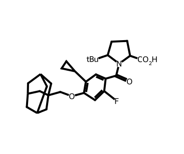 CC(C)(C)C1CCC(C(=O)O)N1C(=O)c1cc(C2CC2)c(OCC23CC4CC(CC(C4)C2)C3)cc1F